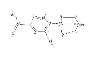 CCCC(=O)c1cnc(N2CCNCC2)c(Cl)c1